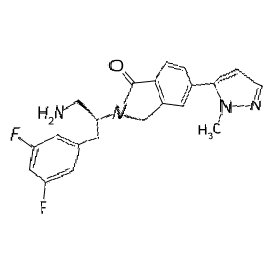 Cn1nccc1-c1ccc2c(c1)CN([C@H](CN)Cc1cc(F)cc(F)c1)C2=O